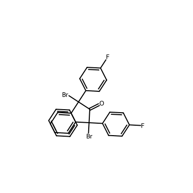 O=C(C(Br)(c1ccccc1)c1ccc(F)cc1)C(Br)(c1ccccc1)c1ccc(F)cc1